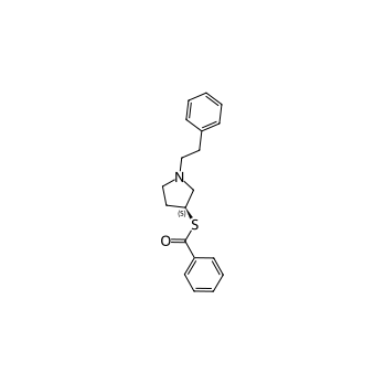 O=C(S[C@H]1CCN(CCc2ccccc2)C1)c1ccccc1